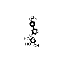 O[C@@H]1[C@@H](O)[C@@H](Oc2cncc(-c3ccc(OC(F)(F)F)cc3)c2)SC[C@H]1O